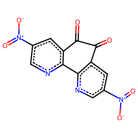 O=C1C(=O)c2cc([N+](=O)[O-])cnc2-c2ncc([N+](=O)[O-])cc21